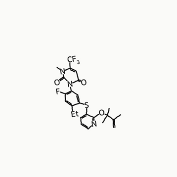 C=C(C)C(C)(C)Oc1ncccc1Sc1cc(-n2c(=O)cc(C(F)(F)F)n(C)c2=O)c(F)cc1CC